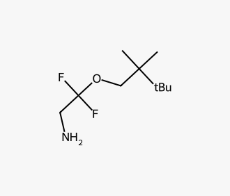 CC(C)(C)C(C)(C)COC(F)(F)CN